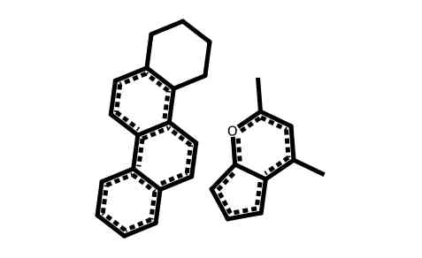 Cc1cc(C)c2cccc-2o1.c1ccc2c(c1)ccc1c3c(ccc12)CCCC3